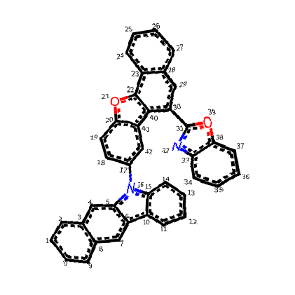 c1ccc2cc3c(cc2c1)c1ccccc1n3-c1ccc2oc3c4ccccc4cc(-c4nc5ccccc5o4)c3c2c1